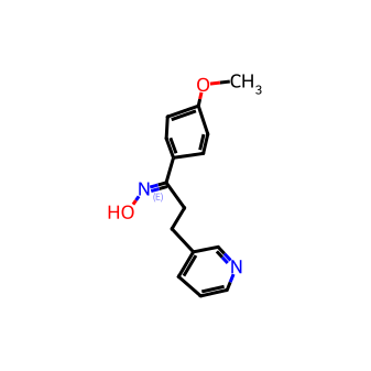 COc1ccc(/C(CCc2cccnc2)=N/O)cc1